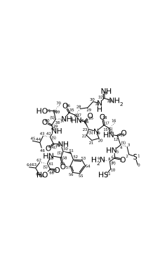 CSCC[C@H](NC(=O)[C@@H](N)CS)C(=O)N[C@@H](C)C(=O)N1CCC[C@H]1C(=O)N[C@@H](CCCNC(=N)N)C(=O)N[C@H](C(=O)N[C@@H](CC(C)C)C(=O)N[C@@H](Cc1ccccc1)C(=O)N[C@@H](CC(C)C)C(=O)O)[C@@H](C)O